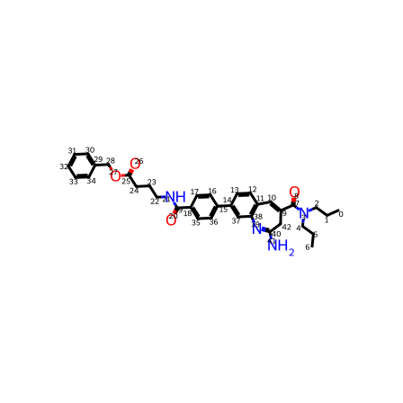 CCCN(CCC)C(=O)C1=Cc2ccc(-c3ccc(C(=O)NCCCC(=O)OCc4ccccc4)cc3)cc2N=C(N)C1